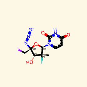 C[C@]1(F)[C@H](n2ccc(=O)[nH]c2=O)O[C@@](CI)(N=[N+]=[N-])[C@H]1O